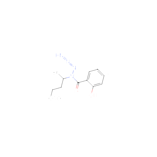 CCC(CCC(=O)[O-])N(N=[N+]=N)C(=O)c1ccccc1O